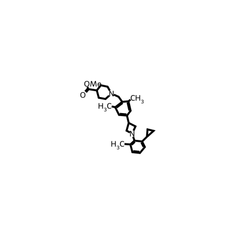 COC(=O)C1CCN(Cc2c(C)cc(C3CN(c4c(C)cccc4C4CC4)C3)cc2C)CC1